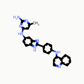 Cc1cc(Nc2ccc3[nH]c(-c4ccc(Nc5ccnc6ccccc56)cc4)nc3c2)nc(N)n1